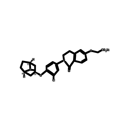 CCOC(=O)COc1ccc2c(c1)CCN(c1ccc(O[C@H]3C[C@H]4CC[C@@H](C3)N4C)c(Cl)c1)C2=O